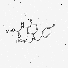 C#CCN(Cc1ccc(F)cc1)c1ccc(F)c(NC(=O)OC)c1